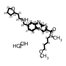 COCCCCN(C)C(=O)c1cn2c(nc3cc(CNCCC4CCCO4)ccc32)s1.Cl.Cl